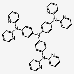 c1ccc(N(c2ccc(N(c3ccc(N(c4ccccn4)c4ccccn4)cc3)c3ccc(N(c4ccccn4)c4ccccn4)cc3)cc2)c2ccccn2)nc1